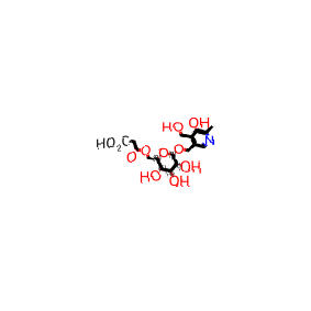 Cc1ncc(CO[C@@H]2O[C@H](COC(=O)CC(=O)O)[C@@H](O)[C@H](O)[C@H]2O)c(CO)c1O